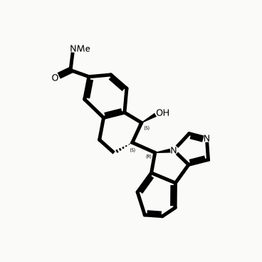 CNC(=O)c1ccc2c(c1)CC[C@@H]([C@@H]1c3ccccc3-c3cncn31)[C@@H]2O